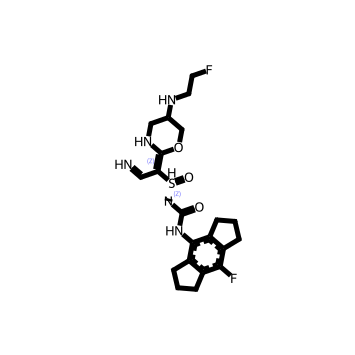 N=CC(=C1\NCC(NCCF)CO1)/[SH](=O)=N/C(=O)Nc1c2c(c(F)c3c1CCC3)CCC2